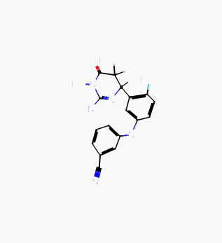 CN1C(=O)C(C)(C)C(C)(c2cc(Nc3cccc(C#N)c3)ccc2F)N=C1N